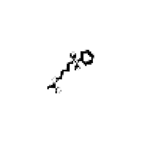 CC(=O)OCCC=CS(=O)(=O)c1ccccc1